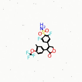 Cc1cc(C2=C(c3cc(F)c(S(N)(=O)=O)c(F)c3)COC2=O)ccc1OC(F)(F)F